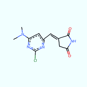 CN(C)c1cc(/C=C2\CC(=O)NC2=O)nc(Cl)n1